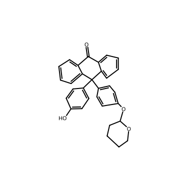 O=C1c2ccccc2C(c2ccc(O)cc2)(c2ccc(OC3CCCCO3)cc2)c2ccccc21